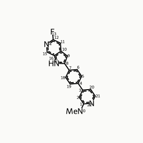 CNc1cc(-c2ccc(-c3cc4cc(F)ncc4[nH]3)cc2)ccn1